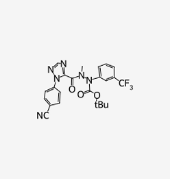 CN(C(=O)c1ncnn1-c1ccc(C#N)cc1)N(C(=O)OC(C)(C)C)c1cccc(C(F)(F)F)c1